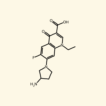 CCn1cc(C(=O)O)c(=O)c2cc(F)c(N3CCC(N)C3)cc21